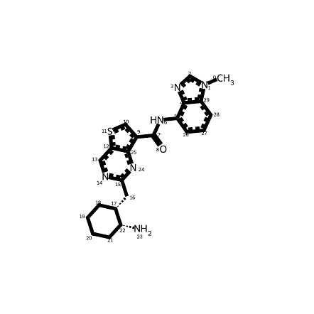 Cn1cnc2c(NC(=O)c3csc4cnc(C[C@H]5CCCC[C@H]5N)nc34)cccc21